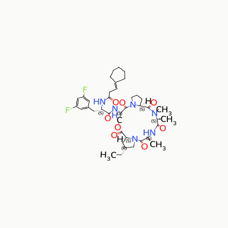 CC[C@@H]1C[C@H]2C(=O)OC[C@H](NC(=O)[C@H](Cc3cc(F)cc(F)c3)NC(=O)CC=C3CCCCC3)C(=O)N3CCC[C@H]3C(=O)N(C)[C@@H](C)C(=O)N[C@@H](C)C(=O)N2C1